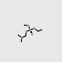 CCOP(=O)(OC)SCN(C)C